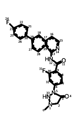 CN1CC(=O)N(c2ccc(C(=O)Nc3nccc4cc(-c5ccc(F)cc5)ccc34)c(F)c2)N1